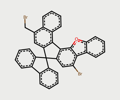 BrCc1cc2c(c3ccccc13)-c1c(cc(Br)c3c1oc1ccccc13)C21c2ccccc2-c2ccccc21